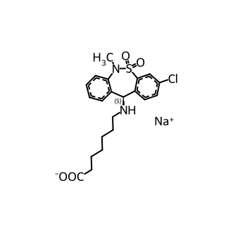 CN1c2ccccc2[C@H](NCCCCCCC(=O)[O-])c2ccc(Cl)cc2S1(=O)=O.[Na+]